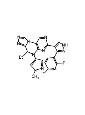 CCC1c2nncn2-c2cnc(-c3c[nH]nc3-c3ccc(F)cc3F)nc2N1c1cnn(C)c1